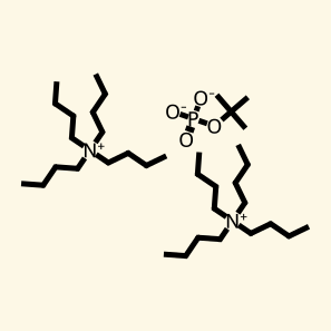 CC(C)(C)OP(=O)([O-])[O-].CCCC[N+](CCCC)(CCCC)CCCC.CCCC[N+](CCCC)(CCCC)CCCC